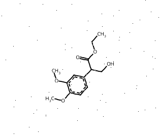 CCOC(=O)C(CO)c1ccc(OC)c(OC)c1